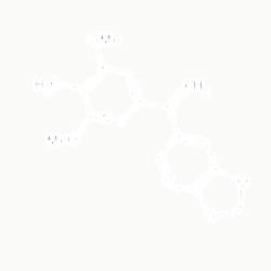 C=C(c1ccc2c(c1)OCO2)c1cc(OC)c(C)c(OC)c1